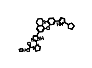 CC(C)(C)OC(=O)N1CCC[C@@H]1c1ncc(-c2cc3c4c(c2)Oc2cc(-c5ccc(C6CCCC6)[nH]5)ccc2N4CCC3)[nH]1